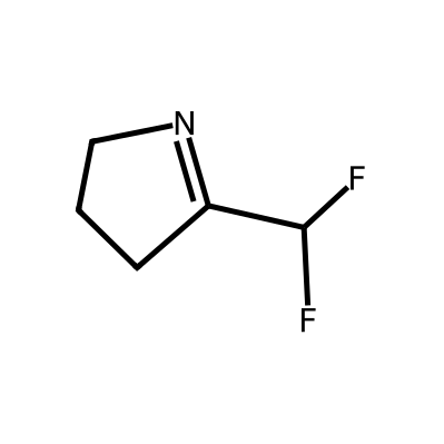 FC(F)C1=NCCC1